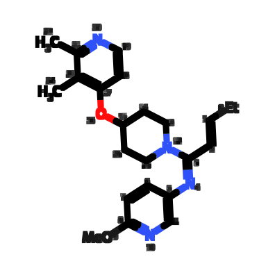 CC/C=C/C(=N/c1ccc(OC)nc1)N1CCC(Oc2ccnc(C)c2C)CC1